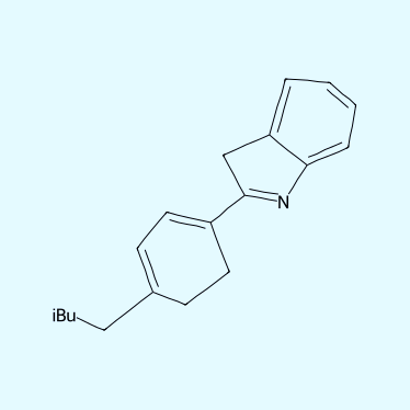 CCC(C)CC1=CC=C(C2=Nc3ccccc3C2)CC1